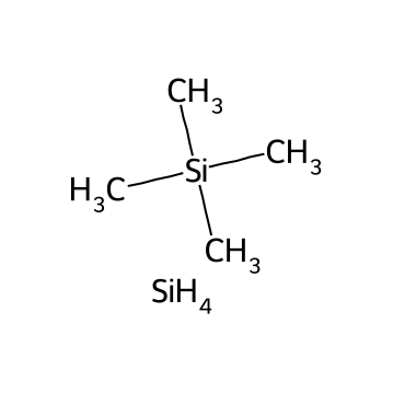 C[Si](C)(C)C.[SiH4]